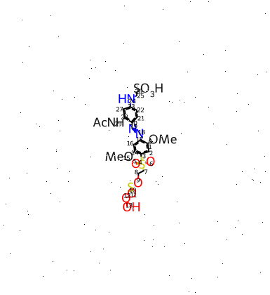 COc1cc(S(=O)(=O)CCOSOOO)c(OC)cc1/N=N/c1ccc(NCS(=O)(=O)O)cc1NC(C)=O